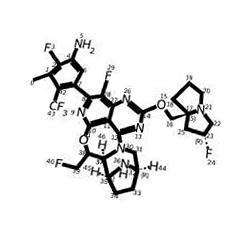 Cc1c(F)c(N)cc(-c2nc3c4c(nc(OC[C@@]56CCCN5C[C@H](F)C6)nc4c2F)N2C[C@H]4CC[C@H](N4)[C@H]2C(CF)O3)c1C(F)(F)F